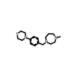 CN1CCCN(Cc2ccc(N3CCSCC3)cc2)CC1